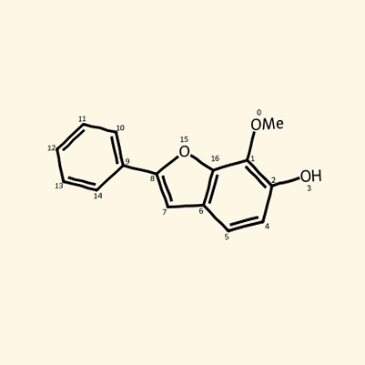 COc1c(O)ccc2cc(-c3ccccc3)oc12